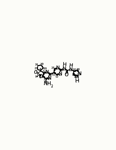 CS(=O)(=O)C1(c2cc(N)nc(-c3cnc(NC(=O)Nc4cn[nH]c4)nc3)n2)CCCC1